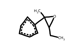 CCC1OC1(C)c1ccccc1